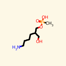 CP(=O)(O)OCC(CO)CCCCN